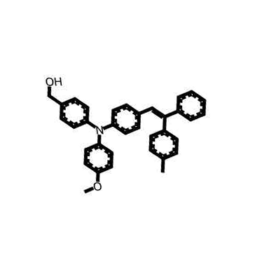 COc1ccc(N(c2ccc(C=C(c3ccccc3)c3ccc(C)cc3)cc2)c2ccc(CO)cc2)cc1